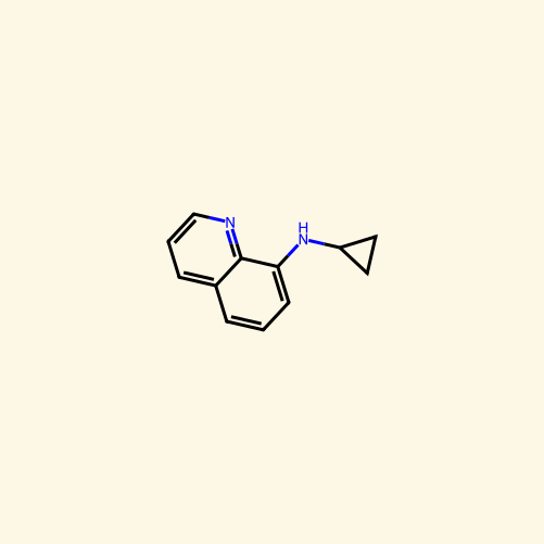 c1cnc2c(NC3CC3)cccc2c1